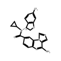 Nc1nc2ccc(C(=O)N(C3CC3)[C@H]3COc4cc(C(F)(F)F)ccc43)cc2n2cncc12